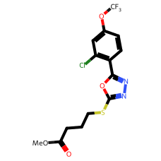 COC(=O)CCCSc1nnc(-c2ccc(OC(F)(F)F)cc2Cl)o1